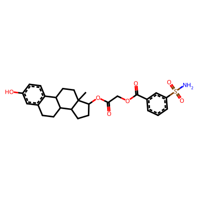 CC12CCC3c4ccc(O)cc4CCC3C1CCC2OC(=O)COC(=O)c1cccc(S(N)(=O)=O)c1